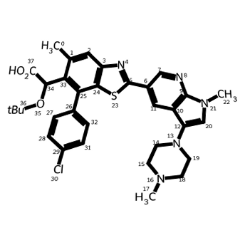 Cc1cc2nc(-c3cnc4c(c3)c(N3CCN(C)CC3)cn4C)sc2c(-c2ccc(Cl)cc2)c1C(OC(C)(C)C)C(=O)O